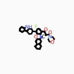 O=C(c1cn2c3c(c(C4CCc5c([nH]c6ccccc56)C4)c(F)cc3c1=O)Oc1cc3ccccc3cc1-2)N1CCOCC1